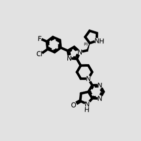 O=C1Cc2c(ncnc2N2CCC(c3nc(-c4ccc(F)c(Cl)c4)cn3C[C@H]3CCCN3)CC2)N1